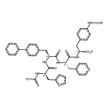 CCC(=O)N[C@H](Cc1cccs1)C(=O)N[C@@H](Cc1ccc(-c2ccccc2)cc1)C(=O)N[C@@H](Cc1ccncc1)C(=O)N[C@@H](Cc1ccc(NC=O)cc1)C(=O)O